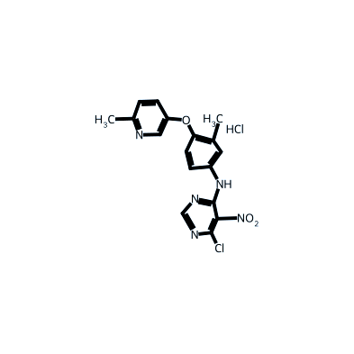 Cc1ccc(Oc2ccc(Nc3ncnc(Cl)c3[N+](=O)[O-])cc2C)cn1.Cl